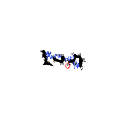 Cc1cc(C2CC2)n(-c2ccc(NC(=O)c3ncccc3C)cn2)n1